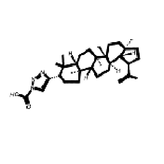 [CH2][C@]12CC[C@@H](C(=C)C)[C@@H]1[C@H]1CC[C@@H]3[C@@]4(C)CC[C@H](c5cn(C(=O)O)nn5)C(C)(C)[C@@H]4CC[C@@]3(C)[C@]1(C)CC2